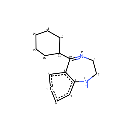 c1ccc2c(c1)NCCN=C2C1CCCCC1